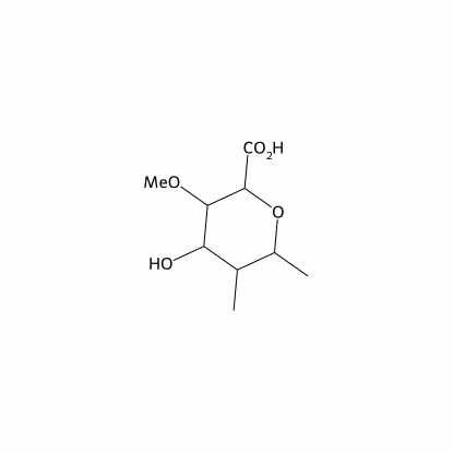 COC1C(C(=O)O)OC(C)C(C)C1O